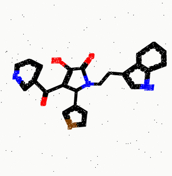 O=C(C1=C(O)C(=O)N(CCc2c[nH]c3ccccc23)C1c1ccsc1)c1cccnc1